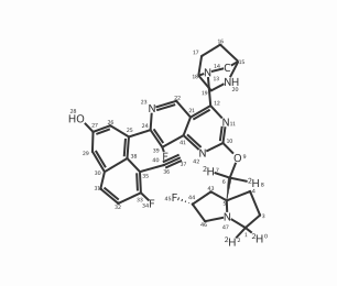 [2H]C1([2H])CC[C@@]2(C([2H])([2H])Oc3nc(N4CC5CCC4CN5)c4cnc(-c5cc(O)cc6ccc(F)c(C#C)c56)c(F)c4n3)C[C@@H](F)CN12